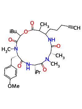 C#CCCCC1NC(=O)[C@H](C)N(C)C(=O)[C@H](C(C)C)NC(=O)[C@H](Cc2ccc(OC)cc2)N(C)C(=O)C(C(C)CC)OC(=O)C1C